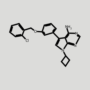 Nc1ncnc2c1c(-c1cccc(OCc3ccccc3Cl)c1)cn2C1CCC1